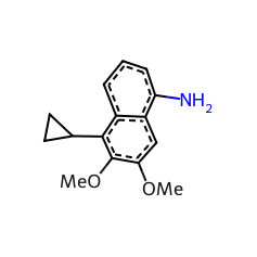 COc1cc2c(N)cccc2c(C2CC2)c1OC